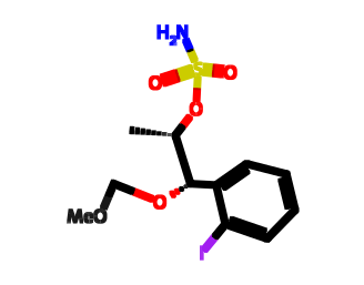 COCO[C@@H](c1ccccc1I)[C@H](C)OS(N)(=O)=O